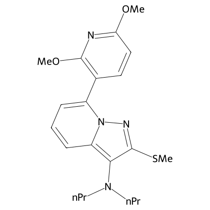 CCCN(CCC)c1c(SC)nn2c(-c3ccc(OC)nc3OC)cccc12